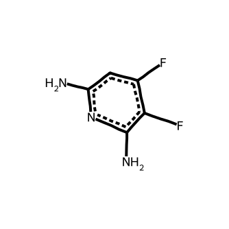 Nc1cc(F)c(F)c(N)n1